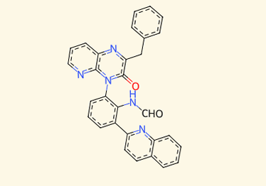 O=CNc1c(-c2ccc3ccccc3n2)cccc1-n1c(=O)c(Cc2ccccc2)nc2cccnc21